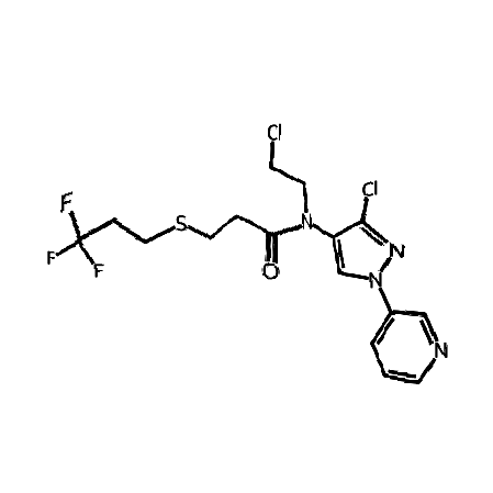 O=C(CCSCCC(F)(F)F)N(CCCl)c1cn(-c2cccnc2)nc1Cl